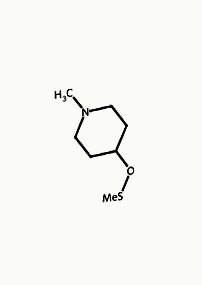 CSOC1CCN(C)CC1